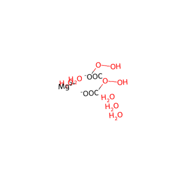 O.O.O.O.O.O=C([O-])OO.O=C([O-])OO.[Mg+2]